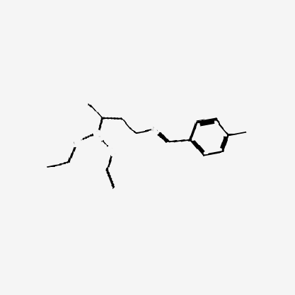 CCO[SiH](OCC)C(C)CCN=Cc1ccc(C)cc1